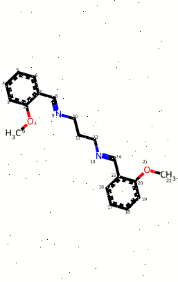 COc1ccccc1/C=N/CCC/N=C/c1ccccc1OC